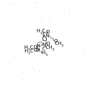 COCCCCN1C(=O)[C@@H](C)Sc2ccc(C(=O)N(C(C)C)[C@@H]3CCCN(C(=O)OC(C)(C)C)C3)cc21